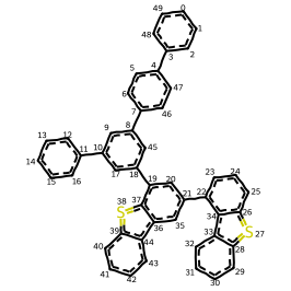 c1ccc(-c2ccc(-c3cc(-c4ccccc4)cc(-c4cc(-c5cccc6sc7ccccc7c56)cc5c4sc4ccccc45)c3)cc2)cc1